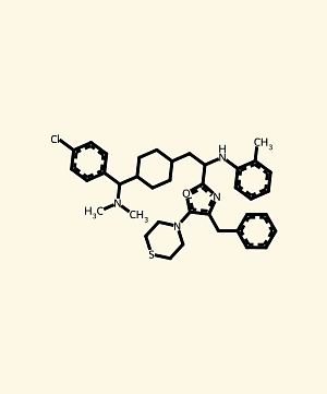 Cc1ccccc1NC(CC1CCC(C(c2ccc(Cl)cc2)N(C)C)CC1)c1nc(Cc2ccccc2)c(N2CCSCC2)o1